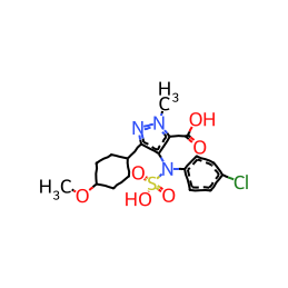 COC1CCC(c2nn(C)c(C(=O)O)c2N(c2ccc(Cl)cc2)S(=O)(=O)O)CC1